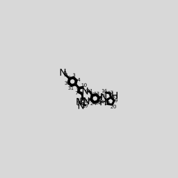 N#Cc1ccc(-c2cc3n(c2)Cc2cc(N4CC[C@H]5CCC[C@@H]54)ccc2-n2cnnc2-3)cc1